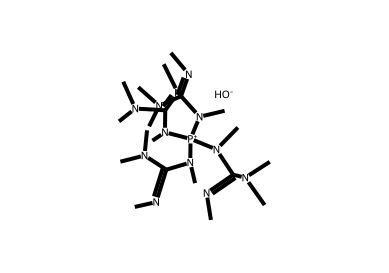 C/N=C(\N(C)C)N(C)[P+](N(C)/C(=N/C)N(C)C)(N(C)/C(=N/C)N(C)C)N(C)/C(=N/C)N(C)C.[OH-]